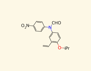 C=Cc1cc(N(C=O)c2ccc([N+](=O)[O-])cc2)ccc1OC(C)C